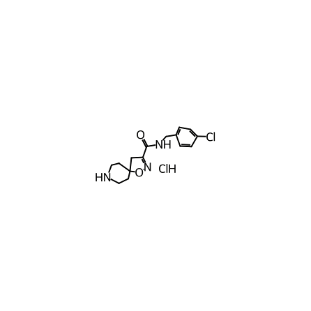 Cl.O=C(NCc1ccc(Cl)cc1)C1=NOC2(CCNCC2)C1